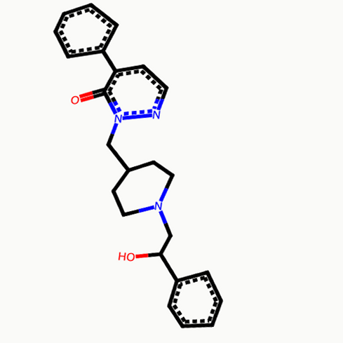 O=c1c(-c2ccccc2)ccnn1CC1CCN(CC(O)c2ccccc2)CC1